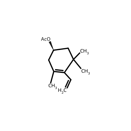 C=CC1=C(C)C[C@@H](OC(C)=O)CC1(C)C